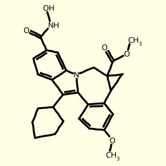 COC(=O)C12CC1c1cc(OC)ccc1-c1c(C3CCCCC3)c3ccc(C(=O)NO)cc3n1C2